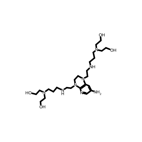 Nc1cnc2c(c1)N(CCNCCCN(CCO)CCO)CCN2CCNCCCN(CCO)CCO